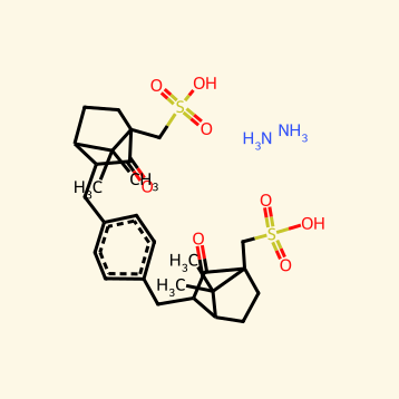 CC1(C)C2CCC1(CS(=O)(=O)O)C(=O)C2Cc1ccc(CC2C(=O)C3(CS(=O)(=O)O)CCC2C3(C)C)cc1.N.N